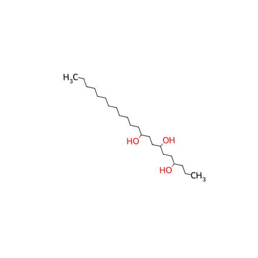 CCCCCCCCCCCCC(O)CCC(O)CCC(O)CCC